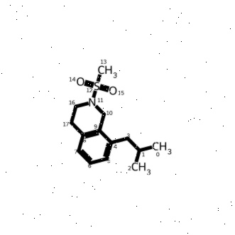 CC(C)Cc1cccc2c1CN(S(C)(=O)=O)CC2